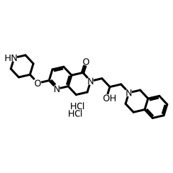 Cl.Cl.O=C1c2ccc(OC3CCNCC3)nc2CCN1CC(O)CN1CCc2ccccc2C1